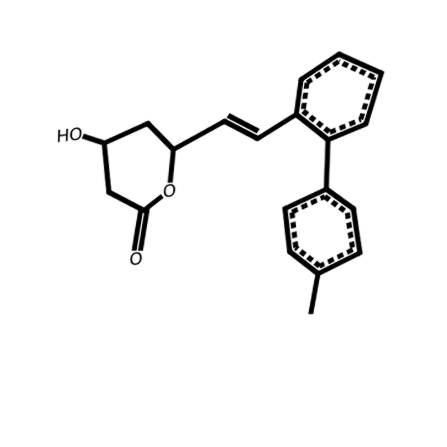 Cc1ccc(-c2ccccc2/C=C/C2CC(O)CC(=O)O2)cc1